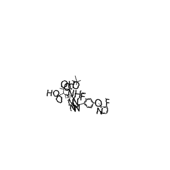 CC(C)(C)OC(=O)N[C@H](Cn1nnc(-c2ccc(Oc3ncccc3F)cc2F)n1)C(C(=O)O)C(C)(C)O